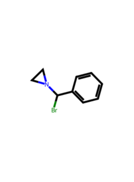 BrC(c1ccccc1)N1CC1